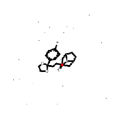 O=C1CC2CCC(C1)N2CCCC1(c2ccc(F)cc2)OCCO1